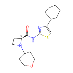 O=C(Nc1nc(C2CCCCC2)cs1)[C@@H]1CCN1C1CCOCC1